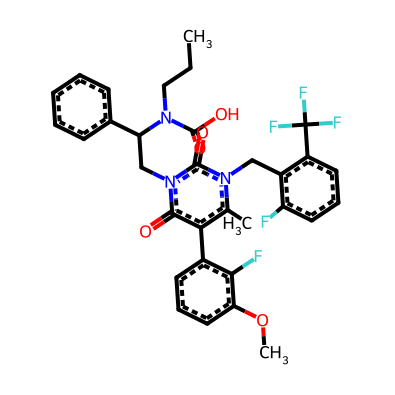 CCCN(C(=O)O)C(Cn1c(=O)c(-c2cccc(OC)c2F)c(C)n(Cc2c(F)cccc2C(F)(F)F)c1=O)c1ccccc1